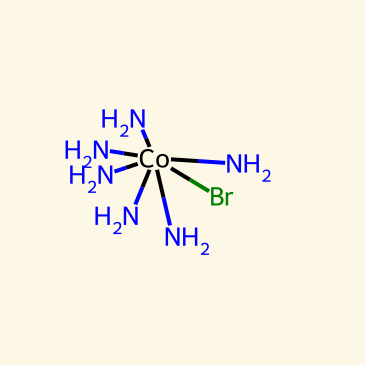 [NH2][Co]([NH2])([NH2])([NH2])([NH2])([NH2])[Br]